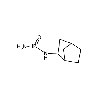 N[PH](=O)NC1CC2CCC1C2